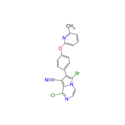 Cc1cccc(Oc2ccc(-c3c(C#N)c4c(Cl)nccn4c3Br)cc2)n1